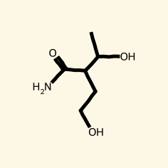 CC(O)C(CCO)C(N)=O